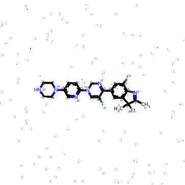 CCC1(C)C(C)=Nc2c(F)cc(C3=NCN(c4ccc(N5CCNCC5)cn4)C=C3F)cc21